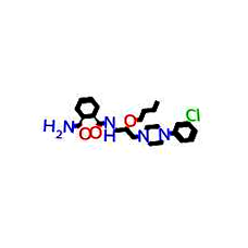 CCCCOC(CNC(=O)[C@@H]1CC=CC[C@@H]1C(N)=O)CN1CCN(c2cccc(Cl)c2)CC1